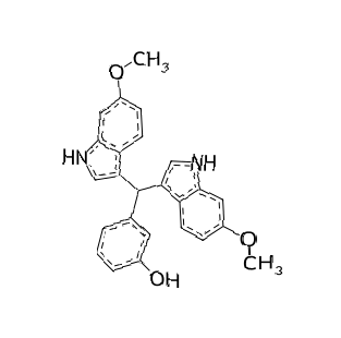 COc1ccc2c(C(c3cccc(O)c3)c3c[nH]c4cc(OC)ccc34)c[nH]c2c1